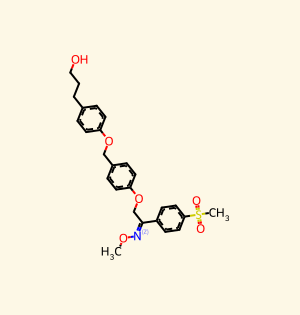 CO/N=C(\COc1ccc(COc2ccc(CCCO)cc2)cc1)c1ccc(S(C)(=O)=O)cc1